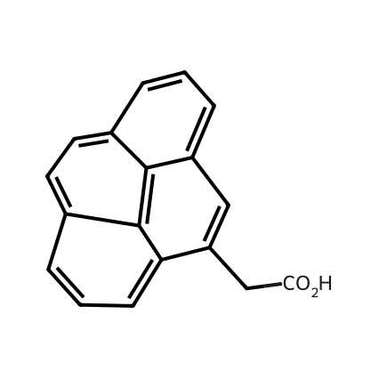 O=C(O)Cc1cc2cccc3ccc4cccc1c4c32